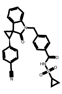 N#Cc1ccc([C@H]2CC23C(=O)N(Cc2ccc(C(=O)NS(=O)(=O)C4CC4)cc2)c2ccccc23)cc1